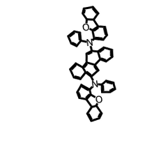 C1=CC2Oc3c(cccc3N(c3ccccc3)c3cc4c5ccccc5c(N(c5ccccc5)c5cccc6c5OC5C=CC=CC65)cc4c4ccccc34)C2C=C1